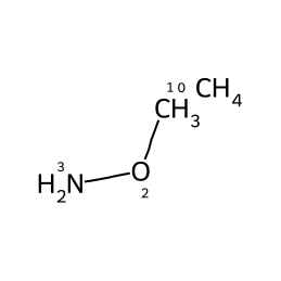 C.CON